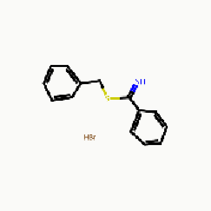 Br.N=C(SCc1ccccc1)c1ccccc1